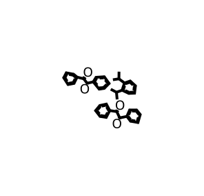 CC(C)c1ccccc1C(C)C.O=C(C(=O)c1ccccc1)c1ccccc1.O=C(C(=O)c1ccccc1)c1ccccc1